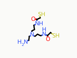 NCCN(CCCNC(=O)CS)CCCNC(=O)CS